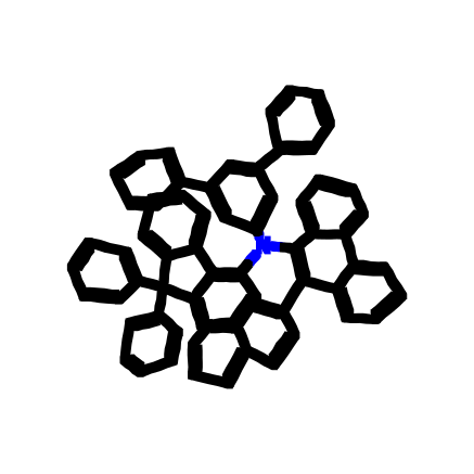 c1ccc(-c2cc(-c3ccccc3)cc(N(c3cccc4c3-c3ccccc3C4(c3ccccc3)c3ccccc3)c3c(-c4ccc5ccccc5c4)c4ccccc4c4ccccc34)c2)cc1